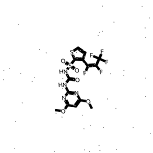 COc1cc(OC)nc(NC(=O)NS(=O)(=O)c2sccc2/C(F)=C(/F)C(F)(F)F)n1